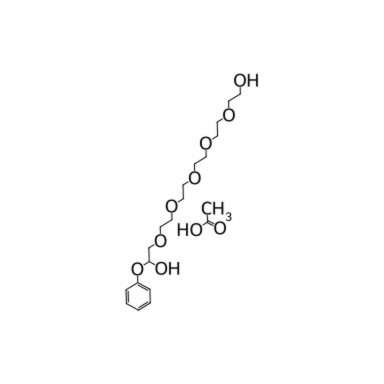 CC(=O)O.OCCOCCOCCOCCOCCOCC(O)Oc1ccccc1